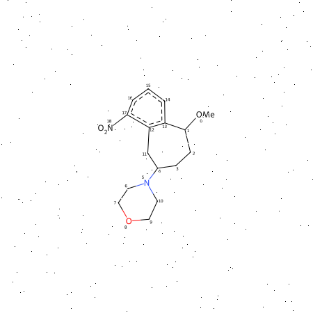 COC1CCC(N2CCOCC2)Cc2c1cccc2[N+](=O)[O-]